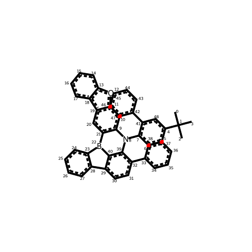 CC(C)(C)c1ccc(N2c3cc4oc5ccccc5c4cc3B3c4ccccc4-c4ccc(-c5ccccc5)c2c43)c(-c2ccccc2)c1